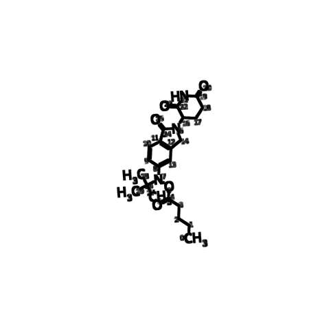 CCCCC(=O)ON(c1ccc2c(c1)CN(C1CCC(=O)NC1=O)C2=O)C(C)(C)C